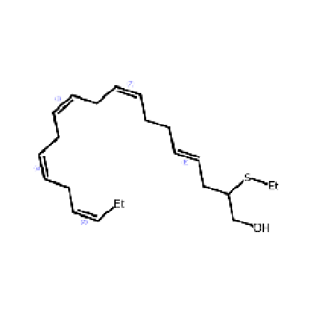 CC/C=C\C/C=C\C/C=C\C/C=C\CC/C=C/CC(CO)SCC